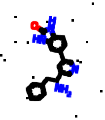 N[C@H](Cc1ccccc1)c1cncc(-c2ccc3[nH]c(=O)[nH]c3c2)c1